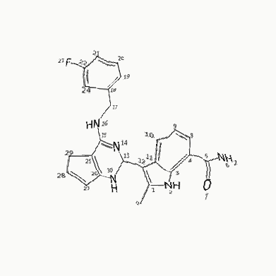 Cc1[nH]c2c(C(N)=O)cccc2c1C1N=C(NCc2cccc(F)c2)C2=C(C=CC2)N1